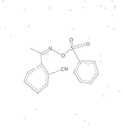 CC(=NOS(=O)(=O)c1ccccc1)c1ccccc1C#N